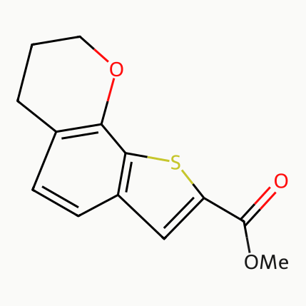 COC(=O)c1cc2ccc3c(c2s1)OCCC3